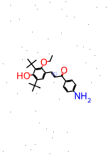 CCOc1c(/C=C/C(=O)c2ccc(N)cc2)cc(C(C)(C)C)c(O)c1C(C)(C)C